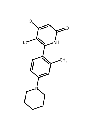 CCc1c(O)cc(=O)[nH]c1-c1ccc(N2CCCCC2)cc1C